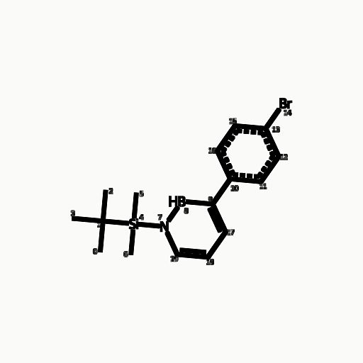 CC(C)(C)[Si](C)(C)N1BC(c2ccc(Br)cc2)=CC=C1